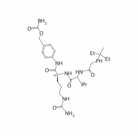 BC(=O)OCc1ccc(NC(=O)[C@H](CCCNC(N)=O)NC(=O)C(NC(=O)CPC(C)(CC)CC)C(C)C)cc1